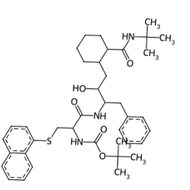 CC(C)(C)NC(=O)C1CCCCC1CC(O)C(Cc1ccccc1)NC(=O)C(CSc1cccc2ccccc12)NC(=O)OC(C)(C)C